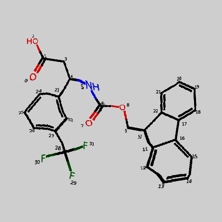 O=C(O)CC(NC(=O)OCC1c2ccccc2-c2ccccc21)c1cccc(C(F)(F)F)c1